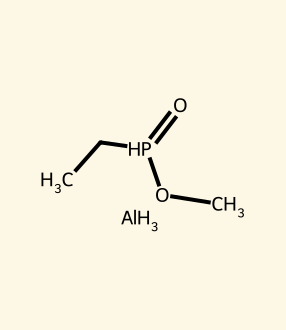 CC[PH](=O)OC.[AlH3]